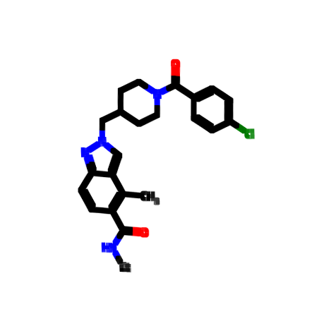 CCNC(=O)c1ccc2nn(CC3CCN(C(=O)c4ccc(Cl)cc4)CC3)cc2c1C